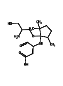 CC1CCC(C)(C)C1(N[C@H](C=O)CC(=O)O)OCC(N)CO